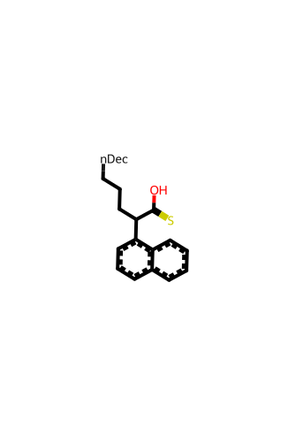 CCCCCCCCCCCCCC(C(O)=S)c1cccc2ccccc12